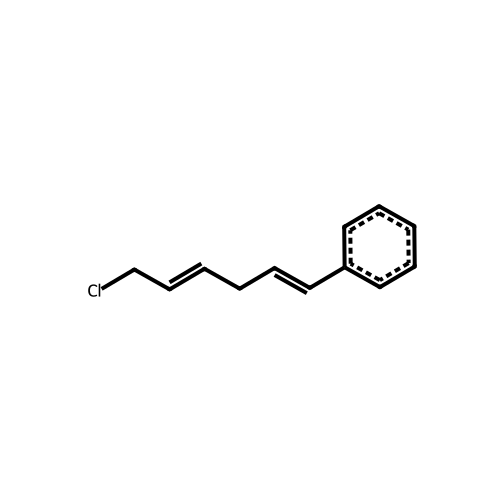 ClCC=CCC=Cc1ccccc1